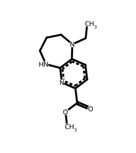 CCN1CCCNc2nc(C(=O)OC)ccc21